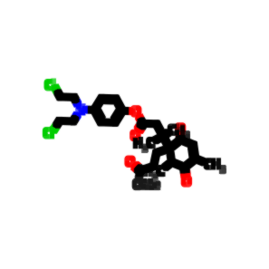 COC(=O)CCC1(C(C)(C)CC(=O)Oc2ccc(N(CCCl)CCCl)cc2)C(=O)C=C(C)C(=O)C1C